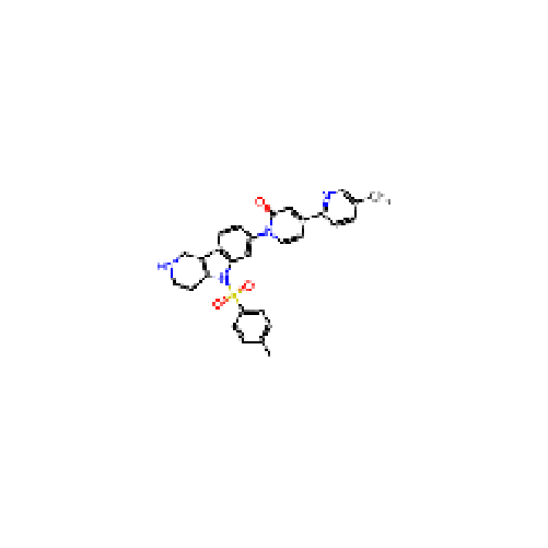 Cc1ccc(S(=O)(=O)n2c3c(c4ccc(-n5ccc(-c6ccc(C(F)(F)F)cn6)cc5=O)cc42)CNCC3)cc1